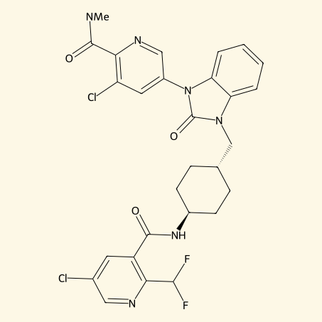 CNC(=O)c1ncc(-n2c(=O)n(C[C@H]3CC[C@H](NC(=O)c4cc(Cl)cnc4C(F)F)CC3)c3ccccc32)cc1Cl